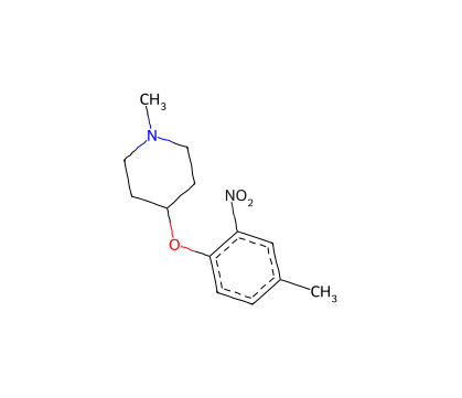 Cc1ccc(OC2CCN(C)CC2)c([N+](=O)[O-])c1